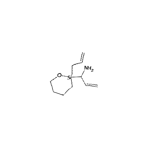 C=CC[Si]1(C(N)C=C)CCCCO1